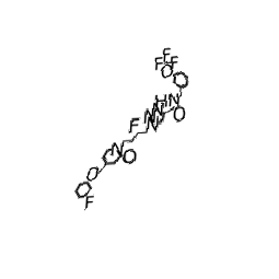 O=C(NCc1cccc(OC(F)(F)F)c1)c1cn(CC(F)CCn2ccc(COc3cccc(F)c3)cc2=O)nn1